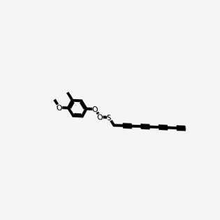 C#CC#CC#CC#CCSOOc1ccc(OC)c(C)c1